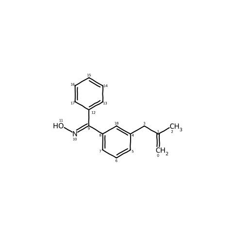 C=C(C)Cc1cccc(C(=NO)c2ccccc2)c1